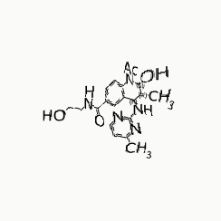 CC(=O)N1c2ccc(C(=O)NCCO)cc2[C@H](Nc2nccc(C)n2)[C@@H](C)[C@@H]1O